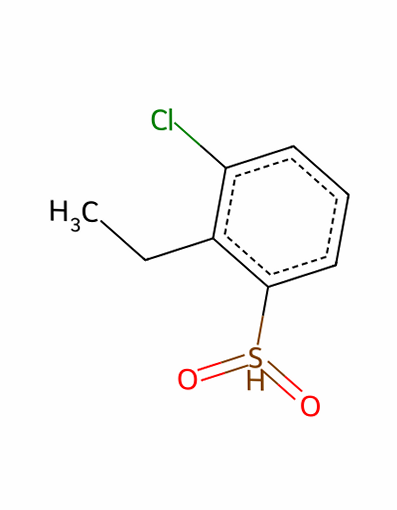 CCc1c(Cl)cccc1[SH](=O)=O